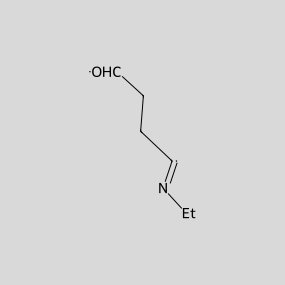 CC/N=[C]/CC[C]=O